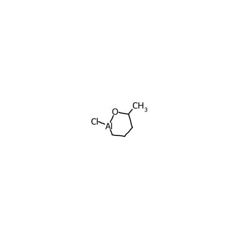 CC1CC[CH2][Al]([Cl])[O]1